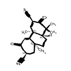 CC1(C)C(=O)C(C#N)=C[C@]2(C)C3=CC(=O)[C@H](C#N)C[C@]3(C)CC[C@@H]12